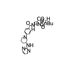 CCCCS(=O)(=O)N[C@@H](CNC(=O)c1ccc(N2CCC[C@H](Nc3ncccn3)C2)cc1)C(=O)O